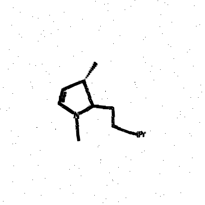 CC(C)CCC1[C@@H](C)C=CN1C